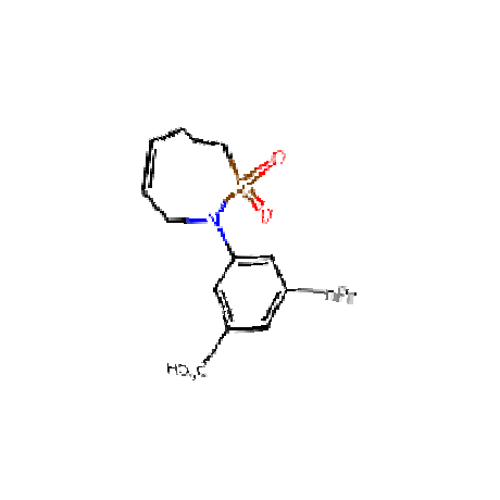 CCCc1cc(C(=O)O)cc(N2CC=CCCS2(=O)=O)c1